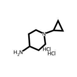 Cl.Cl.NC1CCN(C2CC2)CC1